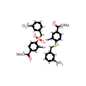 COC(=O)c1ccc(S(=O)(=O)Cc2cccc([N+](=O)[O-])c2)c(I)c1.COC(=O)c1ccc(SCc2cccc([N+](=O)[O-])c2)c(I)c1